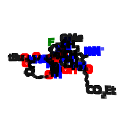 C#CCn1cc(C[C@@H]2NC(=O)[C@@H](NC(=O)OC(C)(C)C)Cc3cccc(c3)C/C=C/CO[C@H]3CCN(C2=O)[C@@H]3C(=O)N[C@H](C(=O)N[C@@H](Cc2ccc(OC)cc2)C(=O)N2CCC[C@@]2(C)C(=O)NCCc2ccc(CNC(=O)CCCCCC(=O)OCC)c(CN=[N+]=[N-])c2)[C@@H](C)O)c2cc(F)ccc21